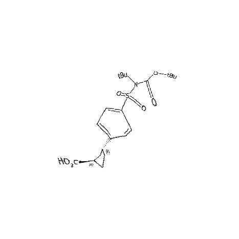 CC(C)(C)OC(=O)N(C(C)(C)C)S(=O)(=O)c1ccc([C@@H]2C[C@H]2C(=O)O)cc1